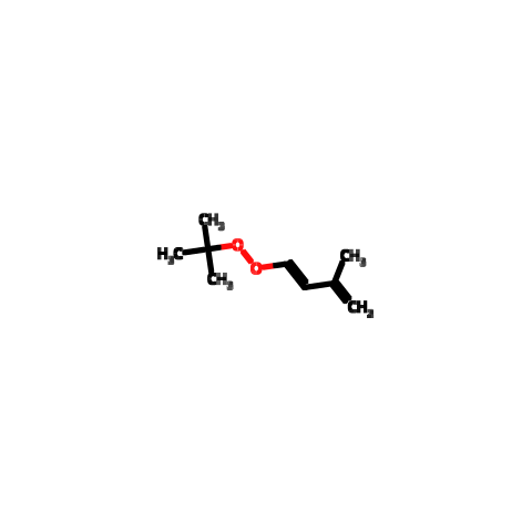 C=C(C)C=COOC(C)(C)C